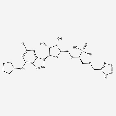 O=P(O)(O)[C@@H](COCc1nnn[nH]1)OC[C@H]1O[C@@H](n2ncc3c(NC4CCCC4)nc(Cl)nc32)[C@H](O)[C@@H]1O